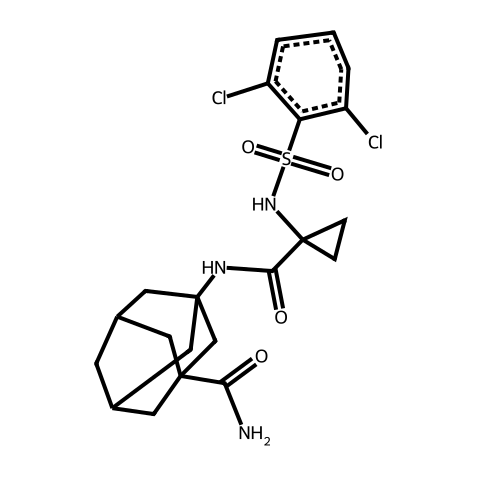 NC(=O)C12CC3CC(CC(NC(=O)C4(NS(=O)(=O)c5c(Cl)cccc5Cl)CC4)(C3)C1)C2